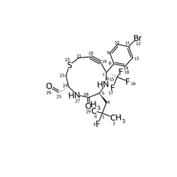 CC(C)(F)C[C@@H]1N[C@@](c2ccc(Br)cc2)(C(F)(F)F)C#CCSC[C@@H](C=O)NC1=O